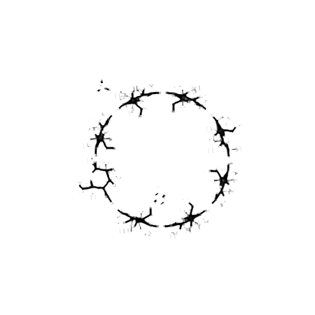 CN(C)C.O=S(=O)(O)OC[C@H]1O[C@@H]2O[C@H]3[C@H](O)[C@@H](O)[C@@H](O[C@H]4[C@H](O)[C@@H](O)[C@@H](O[C@H]5[C@H](O)[C@@H](O)[C@@H](O[C@H]6[C@H](O)[C@@H](O)[C@@H](O[C@H]7[C@H](O)[C@@H](O)[C@@H](O[C@H]8[C@H](O)[C@@H](O)[C@@H](O[C@H]9[C@H](O)[C@@H](O)[C@@H](O[C@H]1[C@H](O)[C@H]2O)O[C@@H]9CO)O[C@@H]8CO)O[C@@H]7CO)O[C@@H]6CO)O[C@@H]5CO)O[C@@H]4CO)O[C@@H]3CO